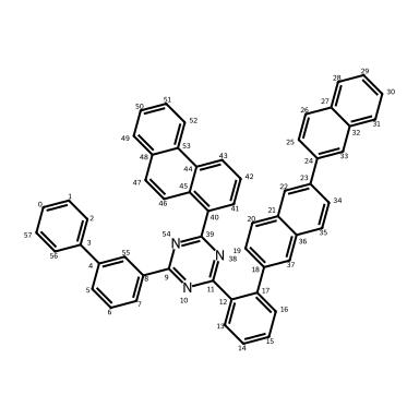 c1ccc(-c2cccc(-c3nc(-c4ccccc4-c4ccc5cc(-c6ccc7ccccc7c6)ccc5c4)nc(-c4cccc5c4ccc4ccccc45)n3)c2)cc1